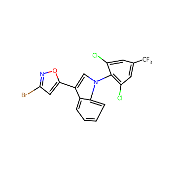 FC(F)(F)c1cc(Cl)c(-n2cc(-c3cc(Br)no3)c3ccccc32)c(Cl)c1